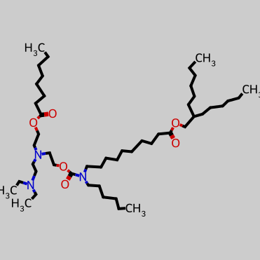 CCCCCCCC(=O)OCCN(CCOC(=O)N(CCCCCC)CCCCCCCCCC(=O)OCC(CCCCCC)CCCCCC)CCN(CC)CC